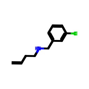 C=CCCNCc1cccc(Cl)c1